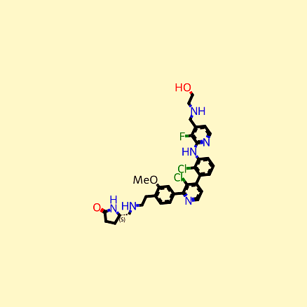 COc1cc(-c2nccc(-c3cccc(Nc4nccc(CNCCO)c4F)c3Cl)c2Cl)ccc1CCNC[C@@H]1CCC(=O)N1